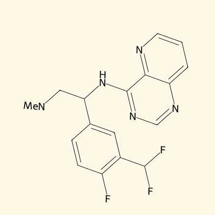 CNCC(Nc1ncnc2cccnc12)c1ccc(F)c(C(F)F)c1